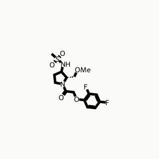 COC[C@H]1C(NS(C)(=O)=O)CCN1C(=O)COc1ccc(F)cc1F